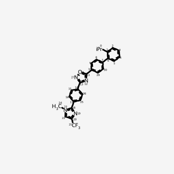 CC(C)c1ccccc1-c1ccc(-c2nc(-c3ccc(-c4nc(C(F)(F)F)cn4C)cc3)no2)cc1